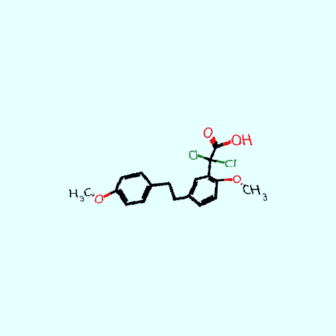 COc1ccc(CCc2ccc(OC)c(C(Cl)(Cl)C(=O)O)c2)cc1